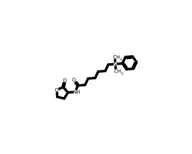 C[Si](C)(CCCCCCC(=O)NC1CCOC1=O)c1ccccc1